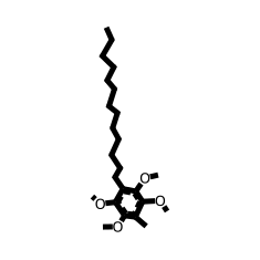 CCCCCCCCCCCCCc1c(OC)c(OC)c(C)c(OC)c1OC